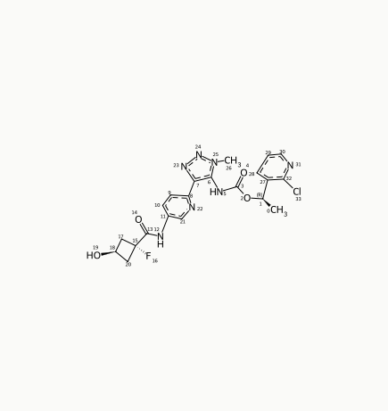 C[C@@H](OC(=O)Nc1c(-c2ccc(NC(=O)[C@]3(F)C[C@H](O)C3)cn2)nnn1C)c1cccnc1Cl